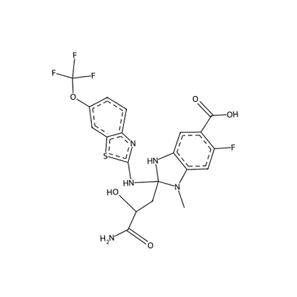 CN1c2cc(F)c(C(=O)O)cc2NC1(CC(O)C(N)=O)Nc1nc2ccc(OC(F)(F)F)cc2s1